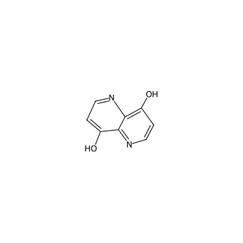 Oc1ccnc2c(O)ccnc12